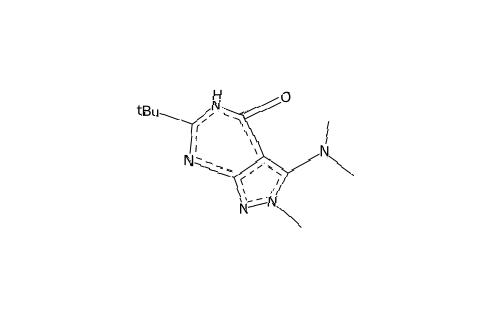 CN(C)c1c2c(=O)[nH]c(C(C)(C)C)nc2nn1C